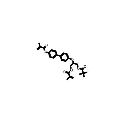 C=C(C)C(=O)OCC(COC(=O)C(C)(C)C)Oc1ccc(-c2ccc(OC(=O)C(=C)C)cc2)cc1